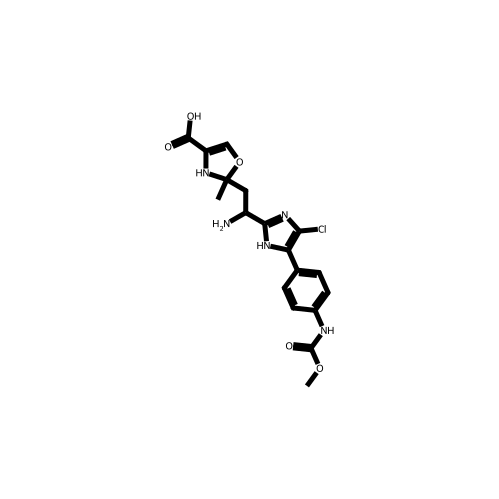 COC(=O)Nc1ccc(-c2[nH]c(C(N)CC3(C)NC(C(=O)O)=CO3)nc2Cl)cc1